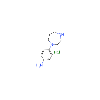 Cl.Nc1ccc(N2CCCNCC2)cc1